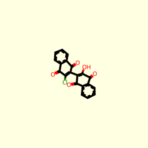 O=C1C(O)=C(C2=C(Cl)C(=O)c3ccccc3C2=O)C(=O)c2ccccc21